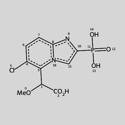 COC(C(=O)O)c1c(Cl)ccc2nc(P(=O)(O)O)cn12